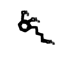 C=CCCCc1cccc(C)c1C